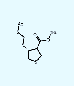 CC(=O)SCC[C@H]1CSC[C@@H]1C(=O)OC(C)(C)C